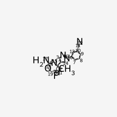 C[C@]1(c2cnn(-c3cccc(C#N)c3)c2)N=C(N)OCC1(F)F